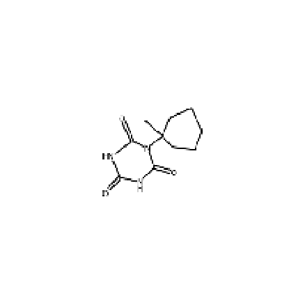 CC1(n2c(=O)[nH]c(=O)[nH]c2=O)CCCCC1